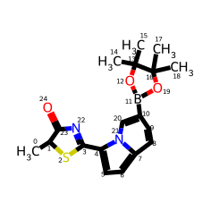 CC1SC(c2ccc3ccc(B4OC(C)(C)C(C)(C)O4)cn23)=NC1=O